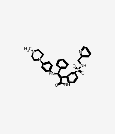 CN1CCN(c2ccc(N/C(=C3\C(=O)Nc4ccc(S(=O)(=O)NCc5ccccn5)cc43)c3ccccc3)cc2)CC1